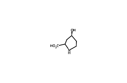 O=C(O)C1C[C@@H](O)CCN1